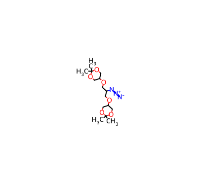 CC1(C)OCC(OCC(COC2COC(C)(C)OC2)N=[N+]=[N-])CO1